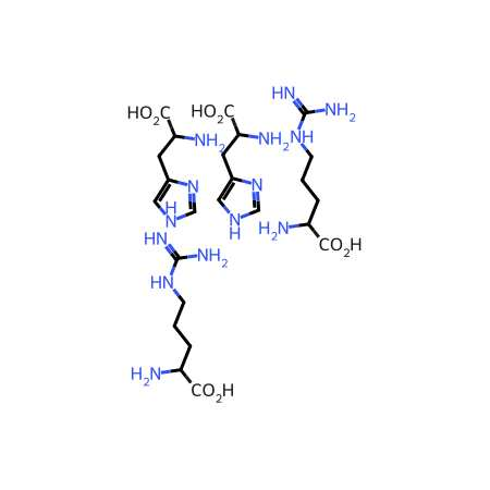 N=C(N)NCCCC(N)C(=O)O.N=C(N)NCCCC(N)C(=O)O.NC(Cc1c[nH]cn1)C(=O)O.NC(Cc1c[nH]cn1)C(=O)O